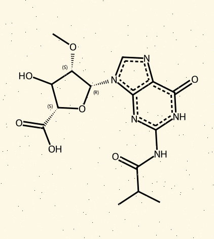 CO[C@H]1C(O)[C@@H](C(=O)O)O[C@H]1n1cnc2c(=O)[nH]c(NC(=O)C(C)C)nc21